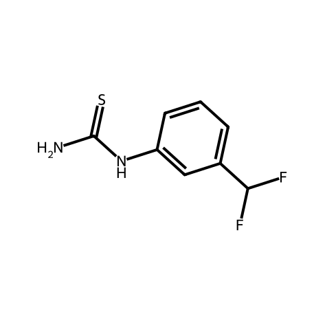 NC(=S)Nc1cccc(C(F)F)c1